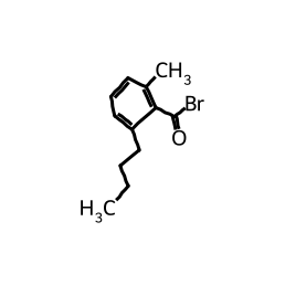 CCCCc1cccc(C)c1C(=O)Br